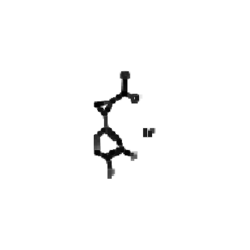 O=C([O-])C1CC1c1ccc(F)c(F)c1.[Li+]